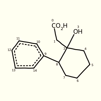 O=C(O)CC1(O)CCCCC1c1ccccc1